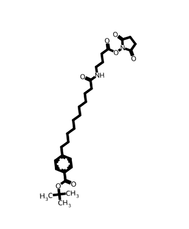 CC(C)(C)OC(=O)c1ccc(CCCCCCCCCCC(=O)NCCCC(=O)ON2C(=O)CCC2=O)cc1